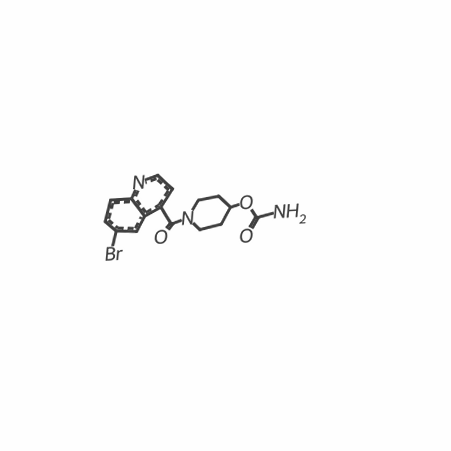 NC(=O)OC1CCN(C(=O)c2ccnc3ccc(Br)cc23)CC1